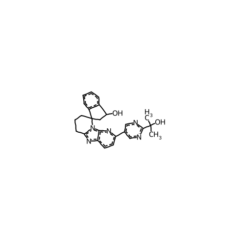 CC(C)(O)c1ncc(-c2ccc3nc4n(c3n2)C2(CCC4)CC(O)c3ccccc32)cn1